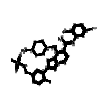 Cc1ccc(CNS(C)(=O)=O)cc1-c1cc2c(N[C@H]3CC[C@H](N)CC3)c(/C(N)=N/c3cc(F)ccc3Cl)cnn2c1